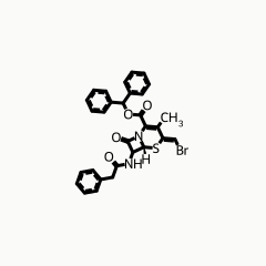 CC1=C(C(=O)OC(c2ccccc2)c2ccccc2)N2C(=O)C(NC(=O)Cc3ccccc3)[C@H]2S/C1=C\Br